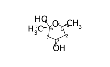 C[C@H]1C[C@@H](O)C[C@](C)(O)O1